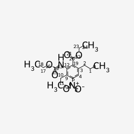 CCCc1cc([N+](=O)[O-])c(CC)c(NC(=O)OCC)c1C(=O)OCC